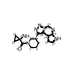 NC1(C(=O)N2CCC[C@H](c3nnn4cnc5[nH]ccc5c34)C2)CC1